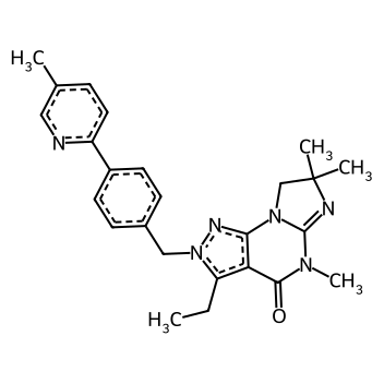 CCc1c2c(nn1Cc1ccc(-c3ccc(C)cn3)cc1)N1CC(C)(C)N=C1N(C)C2=O